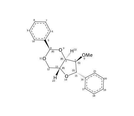 CO[C@@H]1[C@@H]2O[C@H](c3ccccc3)OC[C@H]2O[C@H]1c1ccccc1